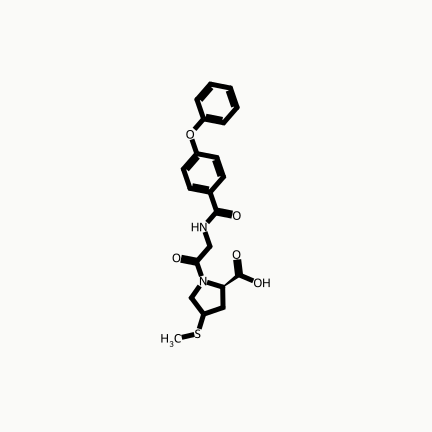 CSC1C[C@H](C(=O)O)N(C(=O)CNC(=O)c2ccc(Oc3ccccc3)cc2)C1